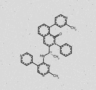 Cc1cc(-c2cccc3cc([C@H](C)Nc4nc(C)ncc4-c4ccncc4)n(-c4ccccc4)c(=O)c23)ccn1